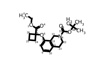 CCOC(=O)C1(Oc2cccc3c2CN(C(=O)OC(C)(C)C)CC3)CCC1